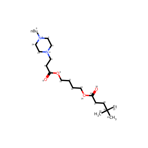 CCCCN1CCN(CCC(=O)OCCCCOC(=O)CCC(C)(C)CC)CC1